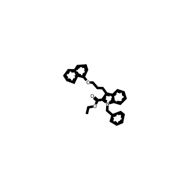 CCOC(=O)c1c(CCCOc2cccc3ccccc23)c2ccccc2n1Cc1ccccc1